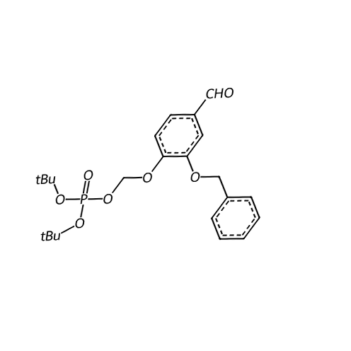 CC(C)(C)OP(=O)(OCOc1ccc(C=O)cc1OCc1ccccc1)OC(C)(C)C